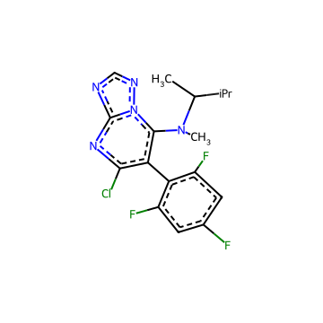 CC(C)C(C)N(C)c1c(-c2c(F)cc(F)cc2F)c(Cl)nc2ncnn12